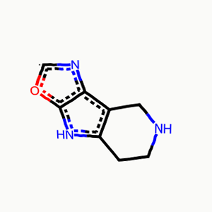 [c]1nc2c3c([nH]c2o1)CCNC3